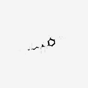 COc1ccc(NC(=O)NCCNC(=O)O)cc1Cl